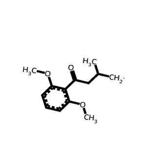 [CH2]C(C)CC(=O)c1c(OC)cccc1OC